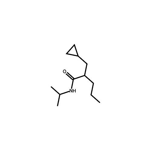 CCCC(CC1CC1)C(=O)NC(C)C